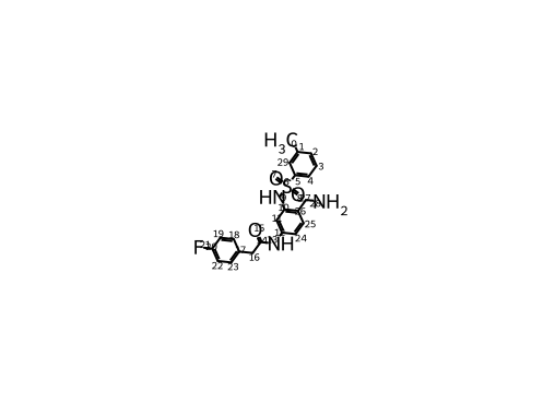 Cc1cccc(S(=O)(=O)Nc2cc(NC(=O)Cc3ccc(F)cc3)ccc2CN)c1